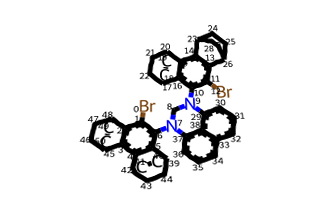 Brc1c2c(c3c(c1N1CN(c4c(Br)c5c(c6c4C4CCC6CC4)C4CCC5CC4)c4cccc5cccc1c45)C1CCC3CC1)C1CCC2CC1